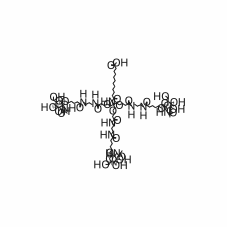 CC(=O)NC1C(O)[C@H](O)C(CO)O[C@H]1OCCCCC(=O)NCCCNC(=O)CCOCC(COCCC(=O)NCCCNC(=O)CCCCO[C@@H]1OC(CO)[C@@H](O)C(O)C1NC(C)=O)(COCCC(=O)NCCCNC(=O)CCCCO[C@@H]1OC(CO)[C@H](O)C(O)C1NC(C)=O)NC(=O)CCCCCCCCCCC(=O)O